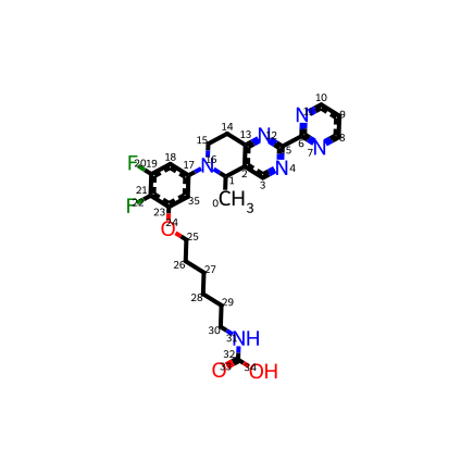 CC1c2cnc(-c3ncccn3)nc2CCN1c1cc(F)c(F)c(OCCCCCCNC(=O)O)c1